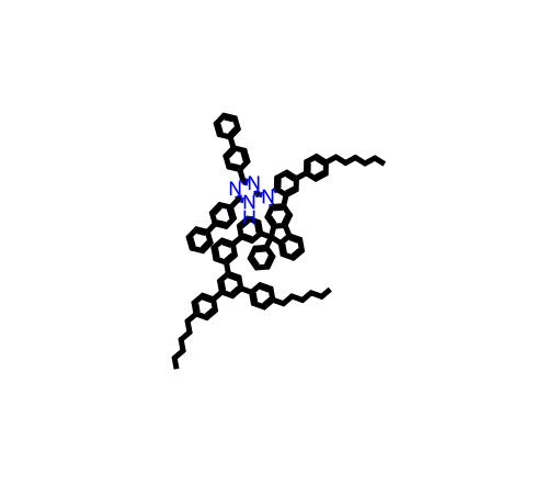 CCCCCCc1ccc(-c2cc(-c3ccc(CCCCCC)cc3)cc(-c3cccc(-c4cccc(C5(c6ccccc6)c6ccccc6-c6cc7c8cc(-c9ccc(CCCCCC)cc9)ccc8n(C8N=C(c9ccc(-c%10ccccc%10)cc9)N=C(c9ccc(-c%10ccccc%10)cc9)N8)c7cc65)c4)c3)c2)cc1